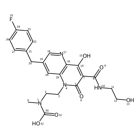 CN(CCn1c(=O)c(C(=O)NCCO)c(O)c2ncc(Cc3ccc(F)cc3)cc21)C(=O)O